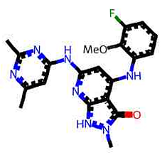 COc1c(F)cccc1Nc1cc(Nc2cc(C)nc(C)n2)nc2[nH]n(C)c(=O)c12